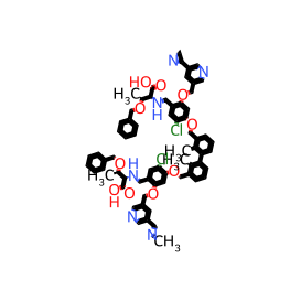 C/N=C/c1cncc(COc2cc(OCc3cccc(-c4cccc(COc5cc(OCc6cncc(C7=NC7)c6)c(CN[C@H](C(=O)O)[C@@H](C)OCc6ccccc6)cc5Cl)c4C)c3C)c(Cl)cc2CN[C@H](C(=O)O)[C@@H](C)OCc2ccccc2)c1